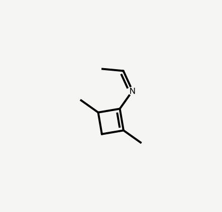 C/C=N\C1=C(C)CC1C